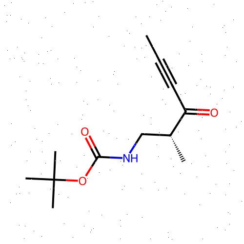 CC#CC(=O)[C@H](C)CNC(=O)OC(C)(C)C